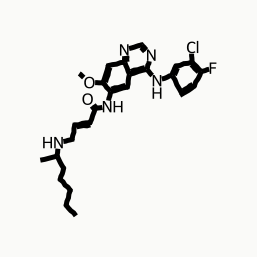 CCCCCC(C)NC/C=C/C(=O)Nc1cc2c(Nc3ccc(F)c(Cl)c3)ncnc2cc1OC